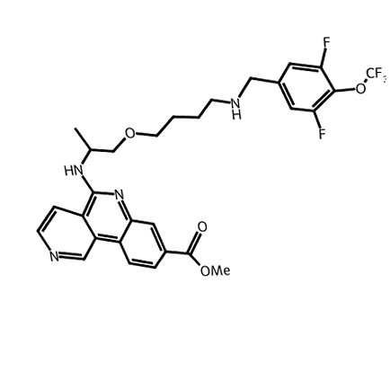 COC(=O)c1ccc2c(c1)nc(NC(C)COCCCCNCc1cc(F)c(OC(F)(F)F)c(F)c1)c1ccncc12